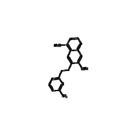 COc1cc2cccc(OC)c2cc1CCc1cccc(N)n1